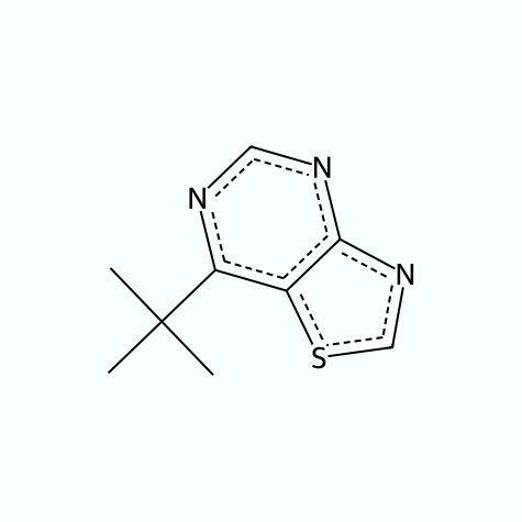 CC(C)(C)c1ncnc2ncsc12